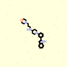 c1cc(-c2cc3ccccc3[nH]2)cc(N2CCC(NCCCN3CCOCC3)CC2)c1